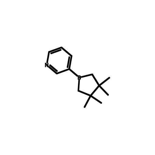 CC1(C)CB(c2cccnc2)CC1(C)C